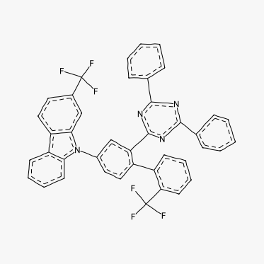 FC(F)(F)c1ccc2c3ccccc3n(-c3ccc(-c4ccccc4C(F)(F)F)c(-c4nc(-c5ccccc5)nc(-c5ccccc5)n4)c3)c2c1